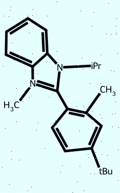 Cc1cc(C(C)(C)C)ccc1-c1n(C(C)C)c2ccccc2[n+]1C